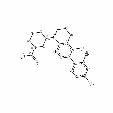 Cc1c(-c2ccc(C(F)(F)F)cc2O)nnc2c1CCCN2[C@@H]1CCCN(C(N)=O)C1